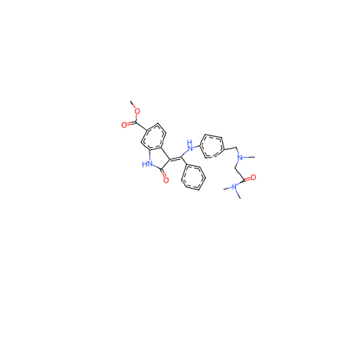 COC(=O)c1ccc2c(c1)NC(=O)C2=C(Nc1ccc(CN(C)CC(=O)N(C)C)cc1)c1ccccc1